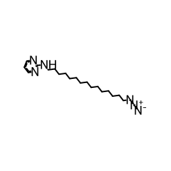 [N-]=[N+]=NCCCCCCCCCCCCCCCNc1ncccn1